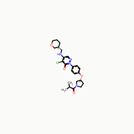 CC(C)C(=O)N1CC[C@@H](Oc2ccc(-n3ncc(NC[C@@H]4CCCOC4)c(Cl)c3=O)cc2)C1